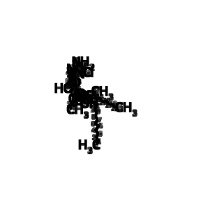 CCCCCCCCCCCCSC(CCCCCCC)C(C)SOP(=O)(O)OP(=O)(OCCC)OC[C@H]1O[C@@H](n2cnc3c(N)nc(Cl)nc32)C[C@@H]1O